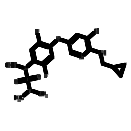 CN(C)S(=O)(=O)N(C=O)c1cc(F)c(Oc2cnc(NCC3CC3)c(Cl)c2)cc1F